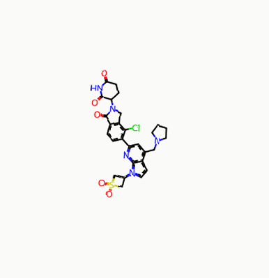 O=C1CCC(N2Cc3c(ccc(-c4cc(CN5CCCC5)c5ccn(C6CS(=O)(=O)C6)c5n4)c3Cl)C2=O)C(=O)N1